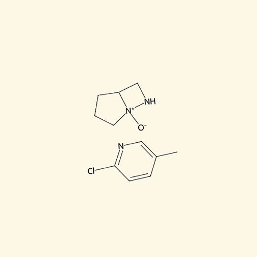 Cc1ccc(Cl)nc1.[O-][N+]12CCCC1CN2